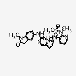 CN1C(=O)Cc2cc(Nc3ncc4ccc(Nc5cccnc5N(C)S(C)(=O)=O)n4n3)ccc21